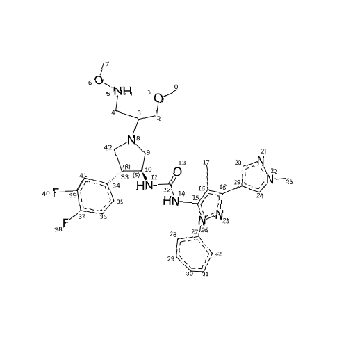 COCC(CNOC)N1C[C@@H](NC(=O)Nc2c(C)c(-c3cnn(C)c3)nn2-c2ccccc2)[C@H](c2ccc(F)c(F)c2)C1